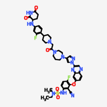 CCN(C)S(=O)(=O)Nc1ccc(F)c(Oc2ccc3ncc(-n4cc(N5CCCN(C(=O)CN6CCC(c7ccc(NC8CCC(=O)NC8=O)cc7F)CC6)CC5)cn4)nc3c2)c1C#N